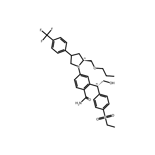 CCCOC[C@@H]1CC(c2ccc(C(F)(F)F)cc2)CN1c1ccc(C(N)=O)c([C@H](CO)c2ccc(S(=O)(=O)CC)cc2)c1